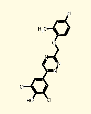 Cc1cc(Cl)ccc1OCc1ncc(-c2cc(Cl)c(O)c(Cl)c2)nn1